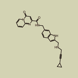 O=C(NCc1ccc2cc(CNCC#CC3CC3)[nH]c2c1)c1cc(=O)n2ccccc2n1